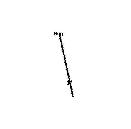 CCCCCCCCCCCC(=O)OCCCCCCCCCCCCCCCCCCCCCCCCCCCCCCCCCCCC(=O)O